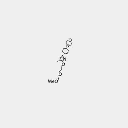 COCCOCCCOc1nn([C@H]2CC[C@H](N3CCOCC3)CC2)cc1C